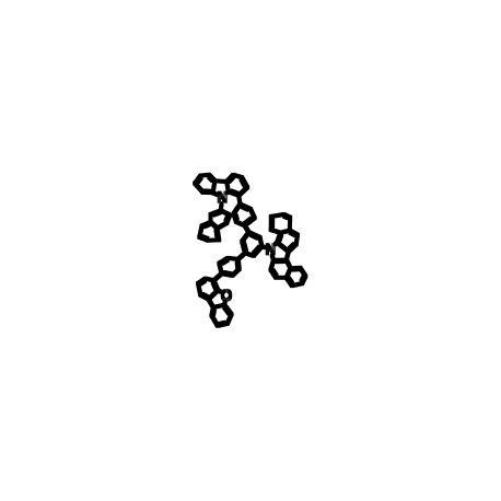 c1ccc2cc(-n3c4ccccc4c4cccc(-c5ccc(-c6cc(-c7ccc(-c8cccc9c8oc8ccccc89)cc7)cc(-n7c8ccc9ccccc9c8c8ccc9ccccc9c87)c6)cc5)c43)ccc2c1